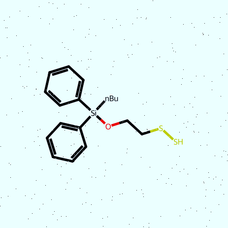 CCCC[Si](OCCSS)(c1ccccc1)c1ccccc1